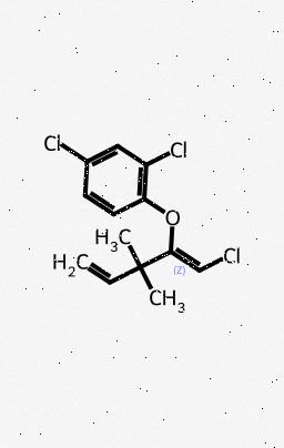 C=CC(C)(C)/C(=C/Cl)Oc1ccc(Cl)cc1Cl